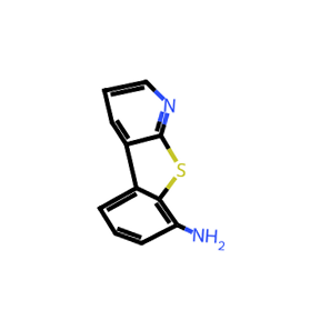 Nc1cccc2c1sc1ncccc12